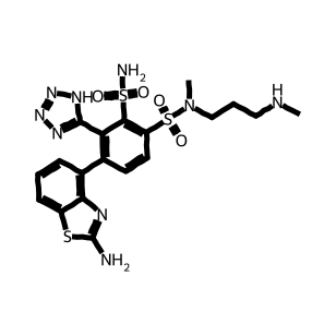 CNCCCN(C)S(=O)(=O)c1ccc(-c2cccc3sc(N)nc23)c(-c2nnn[nH]2)c1S(N)(=O)=O